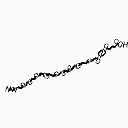 [N-]=[N+]=NCCOCCOCCOCCOCCOCCOCCOCCOCCOCCC(=O)N1CCN(C(=O)CCCC(=O)O)CC1